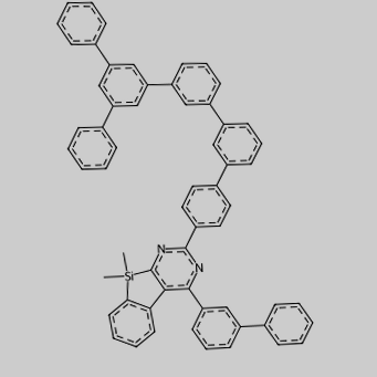 C[Si]1(C)c2ccccc2-c2c(-c3cccc(-c4ccccc4)c3)nc(-c3ccc(-c4cccc(-c5cccc(-c6cc(-c7ccccc7)cc(-c7ccccc7)c6)c5)c4)cc3)nc21